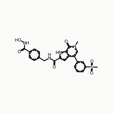 Cn1cc(-c2cccc(S(C)(=O)=O)c2)c2cc(C(=O)NCc3ccc(C(=O)NO)cc3)[nH]c2c1=O